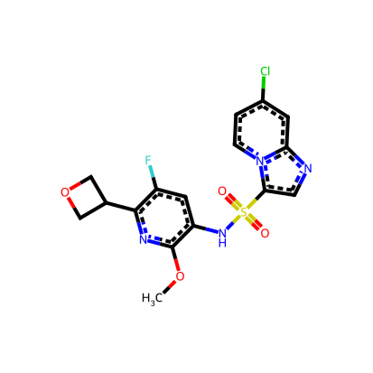 COc1nc(C2COC2)c(F)cc1NS(=O)(=O)c1cnc2cc(Cl)ccn12